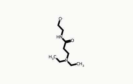 CCN(CC)CCC(=O)NCC[O]